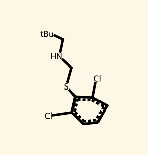 CC(C)(C)CNCSc1c(Cl)cccc1Cl